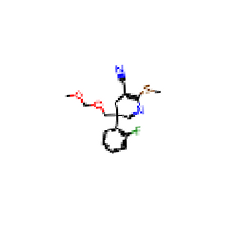 COCOCC1(c2ccccc2F)C=NC(SC)=C(C#N)C1